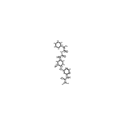 CN(C)C(=O)Nc1cc(Oc2ccc(NC(=O)CC(=O)N(C)c3ccccc3)cc2F)ncn1